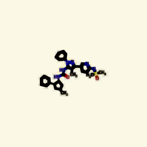 Cc1c(-c2ccc(N=S(C)(C)=O)nc2)nn(-c2ccccc2)c1NC(=O)N[C@@H]1CC(C)C[C@H]1c1ccccc1